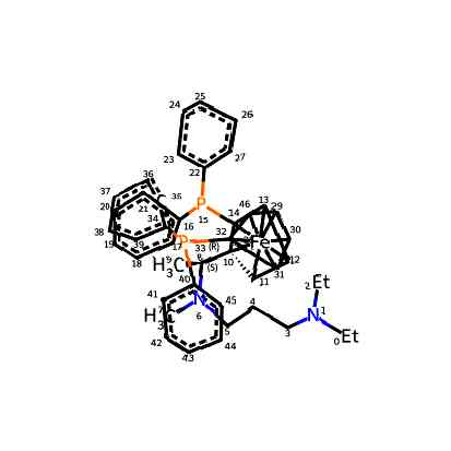 CCN(CC)CCCN(C)[C@@H](C)[C@@]12[CH]3[CH]4[CH]5[C]1(P(c1ccccc1)c1ccccc1)[Fe]45321678[CH]2[CH]1[CH]6[C]7(P(c1ccccc1)c1ccccc1)[CH]28